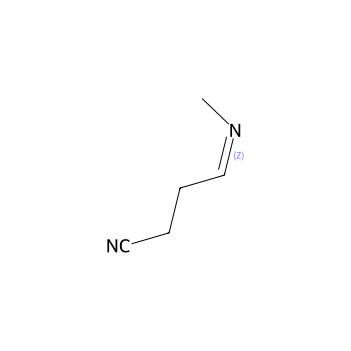 C/N=C\CCC#N